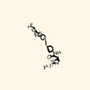 Cc1ncc(CC(=O)N[C@H]2CC[C@H](CCN3CCc4nc(OCC(F)F)sc4CC3)CC2)s1